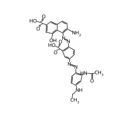 CCNc1ccc(/N=N/c2ccc(/N=N/c3c(N)ccc4cc(S(=O)(=O)O)cc(O)c34)c(S(=O)(=O)O)c2)c(NC(C)=O)c1